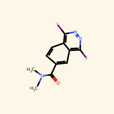 CN(C)C(=O)c1ccc2c(I)nnc(I)c2c1